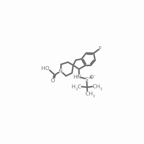 CC(C)(C)[S+]([O-])NC1c2ccc(F)cc2CC12CCN(C(=O)O)CC2